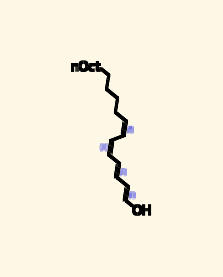 CCCCCCCCCCCC\C=C/C=C\C=C\C=C\O